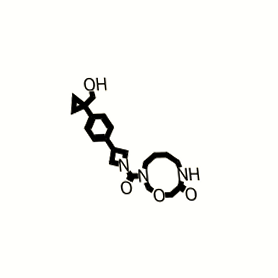 O=C1COCN(C(=O)N2CC(c3ccc(C4(CO)CC4)cc3)C2)CCCCN1